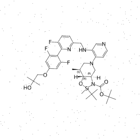 C[C@H]1CN(c2ccncc2NCc2ccc(F)c(-c3c(F)cc(OCC(C)(C)O)cc3F)n2)C[C@@H]2[C@@H]1O[Si](C)(C(C)(C)C)N2C(=O)OC(C)(C)C